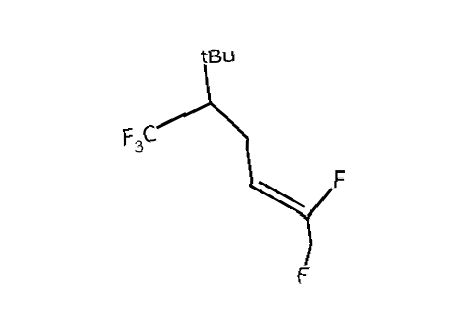 CC(C)(C)C(CC=C(F)F)C(F)(F)F